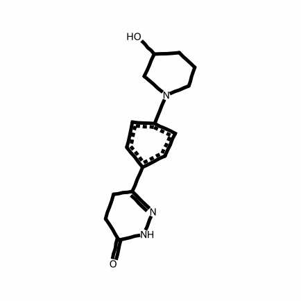 O=C1CCC(c2ccc(N3CCCC(O)C3)cc2)=NN1